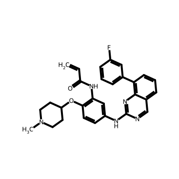 C=CC(=O)Nc1cc(Nc2ncc3cccc(-c4cccc(F)c4)c3n2)ccc1OC1CCN(C)CC1